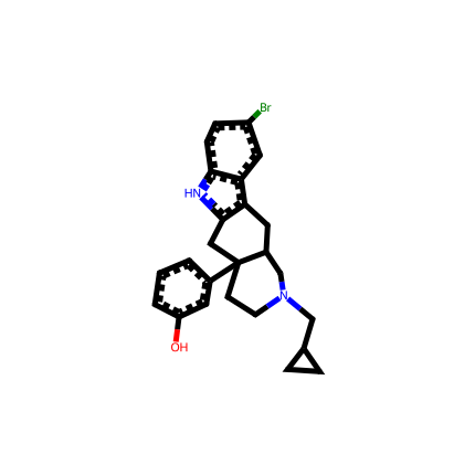 Oc1cccc(C23CCN(CC4CC4)CC2Cc2c([nH]c4ccc(Br)cc24)C3)c1